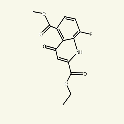 CCOC(=O)c1cc(=O)c2c(C(=O)OC)ccc(F)c2[nH]1